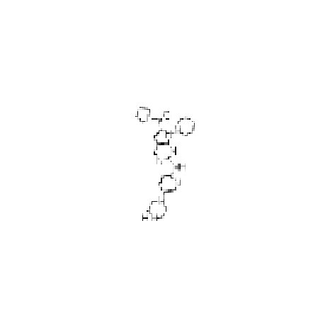 O=C(c1cc2cnc(Nc3ccc(N4CCNCC4)cn3)nc2n1N1CCCCC1)N1CCCC1